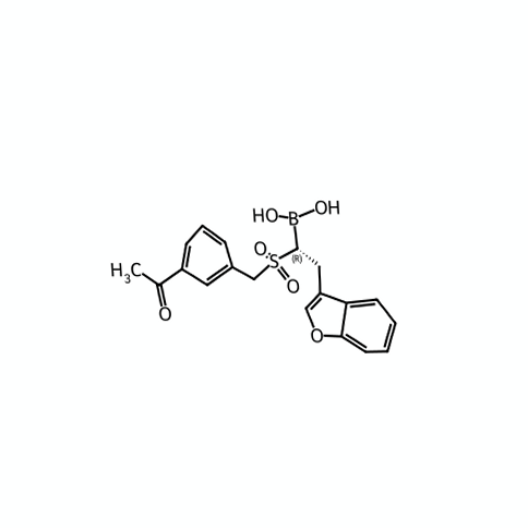 CC(=O)c1cccc(CS(=O)(=O)[C@@H](Cc2coc3ccccc23)B(O)O)c1